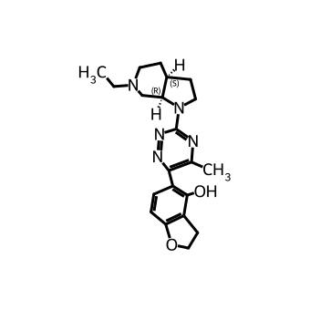 CCN1CC[C@H]2CCN(c3nnc(-c4ccc5c(c4O)CCO5)c(C)n3)[C@H]2C1